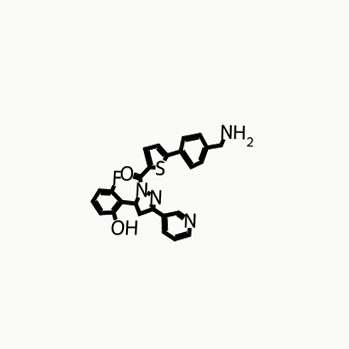 NCc1ccc(-c2ccc(C(=O)N3N=C(c4cccnc4)CC3c3c(O)cccc3F)s2)cc1